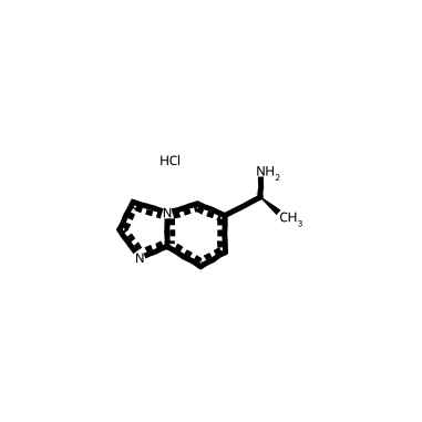 C[C@H](N)c1ccc2nccn2c1.Cl